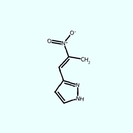 C/C(=C\c1cc[nH]n1)[N+](=O)[O-]